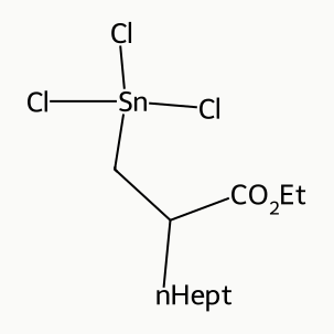 CCCCCCCC([CH2][Sn]([Cl])([Cl])[Cl])C(=O)OCC